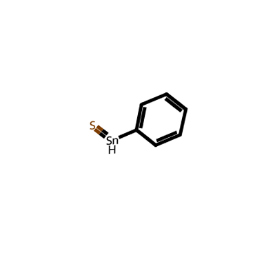 [S]=[SnH][c]1ccccc1